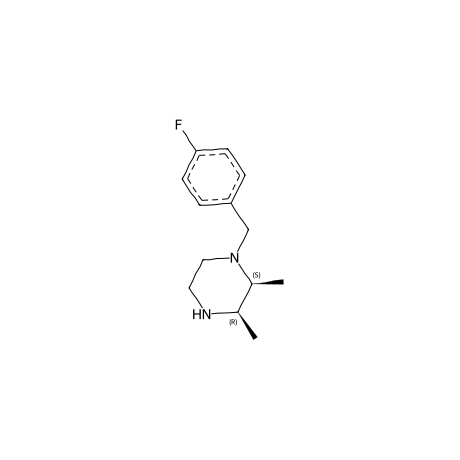 C[C@H]1NCCN(Cc2ccc(F)cc2)[C@H]1C